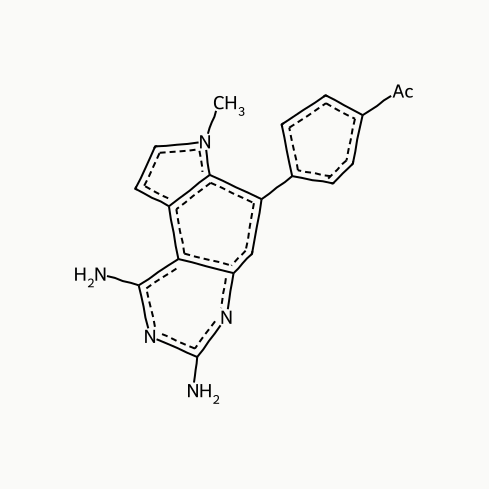 CC(=O)c1ccc(-c2cc3nc(N)nc(N)c3c3ccn(C)c23)cc1